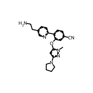 Cn1nc(N2CCCC2)cc1Oc1cc(C#N)ccc1-c1ccc(CCN)cn1